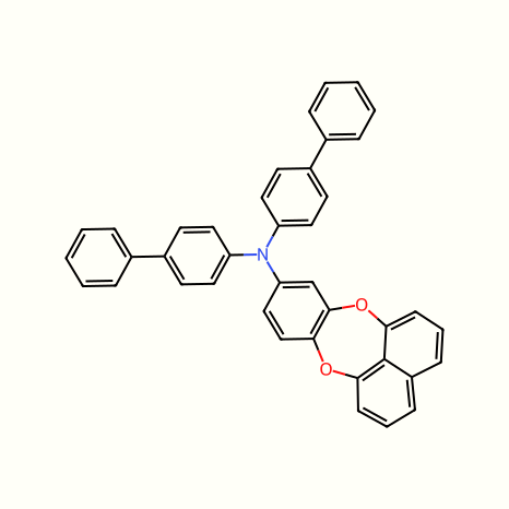 c1ccc(-c2ccc(N(c3ccc(-c4ccccc4)cc3)c3ccc4c(c3)Oc3cccc5cccc(c35)O4)cc2)cc1